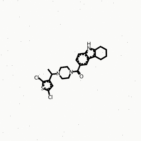 CC(c1cc(Cl)sc1Cl)N1CCN(C(=O)c2ccc3[nH]c4c(c3c2)CCCC4)CC1